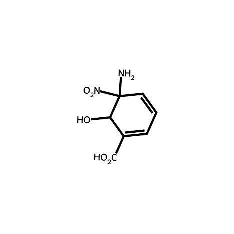 NC1([N+](=O)[O-])C=CC=C(C(=O)O)C1O